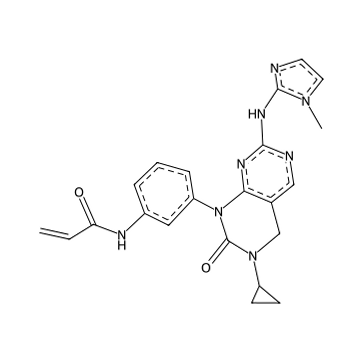 C=CC(=O)Nc1cccc(N2C(=O)N(C3CC3)Cc3cnc(Nc4nccn4C)nc32)c1